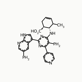 CC1C=CC[C@H](C(=O)O)[C@H]1Nc1nc(-c2c[nH]c3ncc(P)cc23)nc(-c2ccncc2)c1P